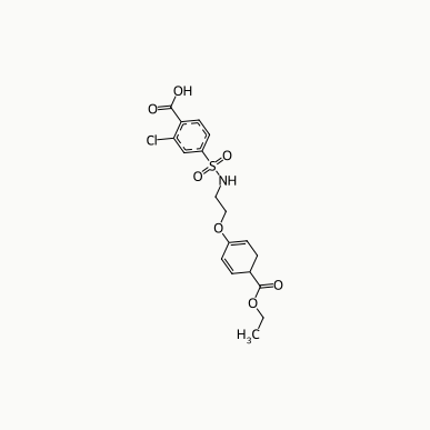 CCOC(=O)C1C=CC(OCCNS(=O)(=O)c2ccc(C(=O)O)c(Cl)c2)=CC1